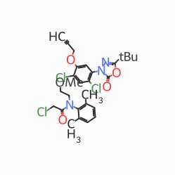 C#CCOc1cc(-n2nc(C(C)(C)C)oc2=O)c(Cl)cc1Cl.COCCN(C(=O)CCl)c1c(C)cccc1C